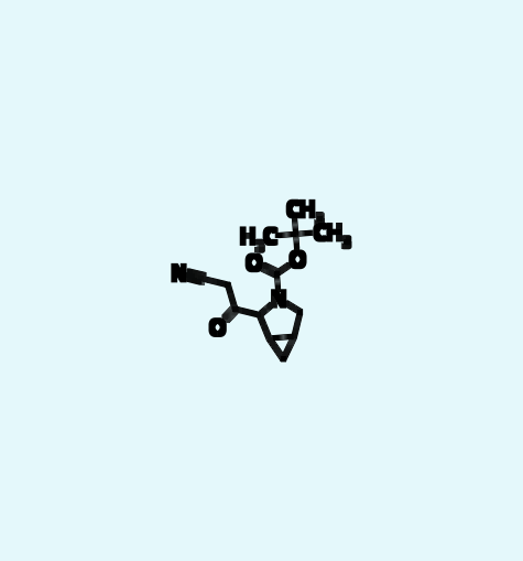 CC(C)(C)OC(=O)N1CC2CC2C1C(=O)CC#N